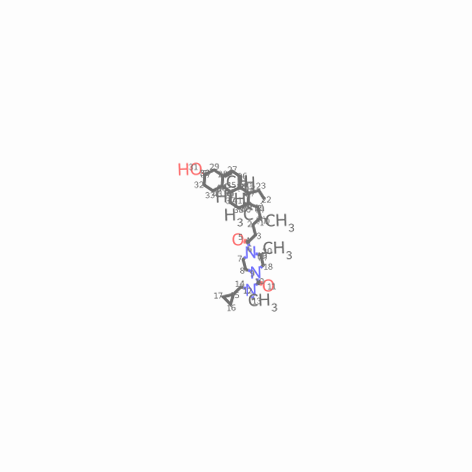 C[C@H](CCC(=O)N1CCN(C(=O)N(C)CC2CC2)C[C@@H]1C)[C@H]1CC[C@H]2[C@@H]3CC=C4C[C@@H](O)CC[C@]4(C)[C@H]3CC[C@]12C